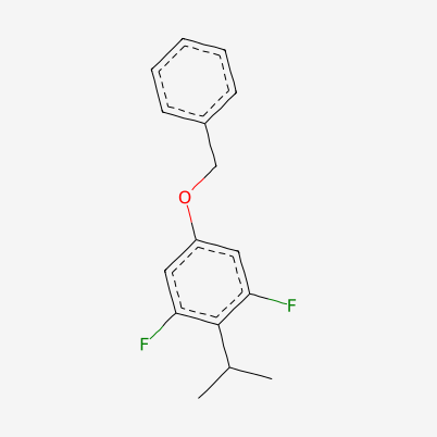 CC(C)c1c(F)cc(OCc2ccccc2)cc1F